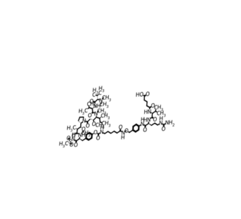 CC[C@H](C)[C@@H]([C@@H](CC(=O)N1CCC[C@H]1[C@H](OC)[C@@H](C)C(=O)N[C@@H](Cc1ccc(OC(=O)NCCCCCC(=O)NOCc2ccc(NC(=O)[C@H](CCCNC(N)=O)NC(=O)[C@@H](NC(=O)CCCC(=O)O)C(C)C)cc2)cc1)C(=O)NS(C)(=O)=O)OC)N(C)C(=O)[C@@H](NC(=O)[C@H](C(C)C)N(C)C)C(C)C